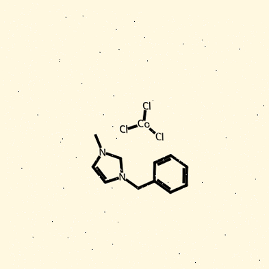 CN1C=CN(Cc2ccccc2)C1.[Cl][Co]([Cl])[Cl]